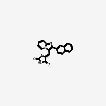 O=C1NC(=O)/C(=C/c2c(-c3ccc4ccccc4c3)nc3ccccn23)S1